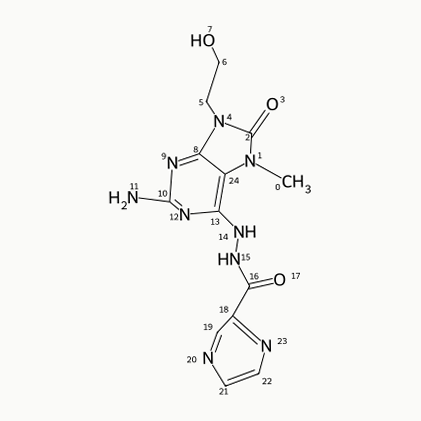 Cn1c(=O)n(CCO)c2nc(N)nc(NNC(=O)c3cnccn3)c21